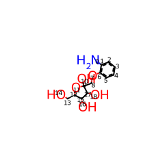 Nc1ccccc1OCC1(O)O[C@H](CO)[C@@H](O)[C@@H]1O